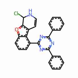 ClC1NC=Cc2c1oc1cccc(-c3nc(-c4ccccc4)nc(-c4ccccc4)n3)c21